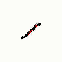 C=CCSCCOc1ccc(-c2ccc(OC(=O)[C@H]3CC[C@H](C(=O)Oc4ccc(-c5ccc(OCCSCC=C)cc5)cc4)CC3)cc2)cc1